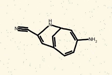 N#CC1=CC2=CC(C=C(N)C=C2)N1